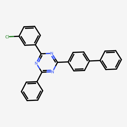 Clc1cccc(-c2nc(-c3ccccc3)nc(-c3ccc(-c4ccccc4)cc3)n2)c1